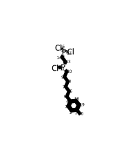 Cc1ccc(CCCCCCP(Cl)CCP(Cl)Cl)cc1